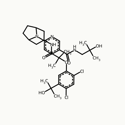 CC(C)(O)CNC(=O)c1ccc(N2C3CCC2CC(NC(=O)C(C)(C)Oc2cc(C(C)(C)O)c(Cl)cc2Cl)C3)nc1